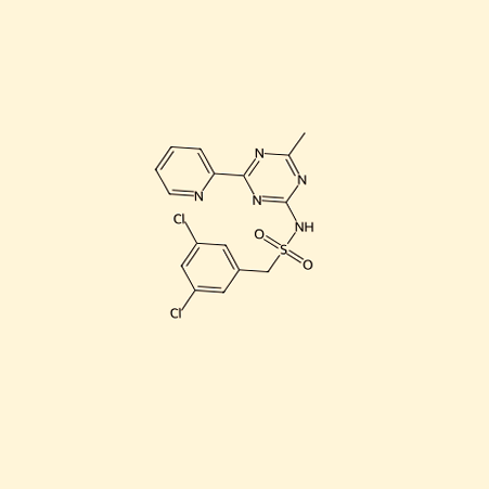 Cc1nc(NS(=O)(=O)Cc2cc(Cl)cc(Cl)c2)nc(-c2ccccn2)n1